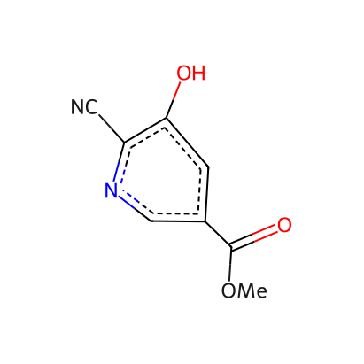 COC(=O)c1cnc(C#N)c(O)c1